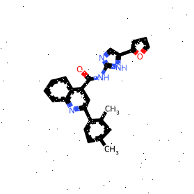 Cc1ccc(-c2cc(C(=O)Nc3ncc(-c4ccco4)[nH]3)c3ccccc3n2)c(C)c1